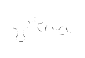 CC(C(=O)OC1OC(=O)c2ccccc21)c1ccc2oc(-c3ccc(Cl)cc3)nc2c1